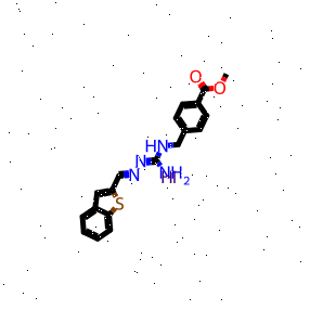 COC(=O)c1ccc(CN/C(N)=N/N=C/c2cc3ccccc3s2)cc1.I